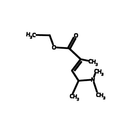 CCOC(=O)C(C)=CC(C)N(C)C